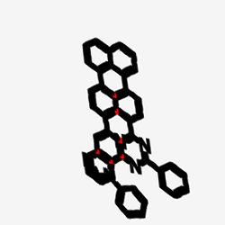 c1ccc(-c2nc(-c3ccccc3)nc(-c3ccc(-c4cccc5cccc(-c6ccc(-c7ccc8c(c7)ncn8-c7ccccc7)cc6)c45)cc3)n2)cc1